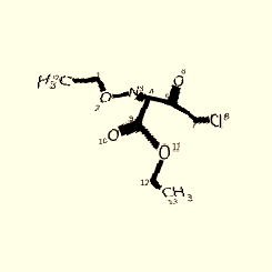 CCON=C(C(=O)CCl)C(=O)OCC